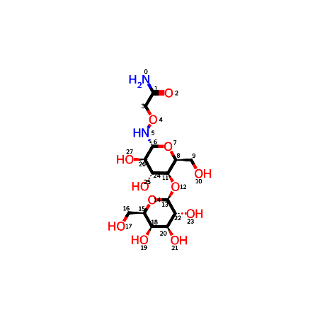 NC(=O)CON[C@@H]1O[C@@H](CO)[C@@H](O[C@@H]2O[C@H](CO)[C@H](O)[C@H](O)[C@H]2O)[C@H](O)[C@H]1O